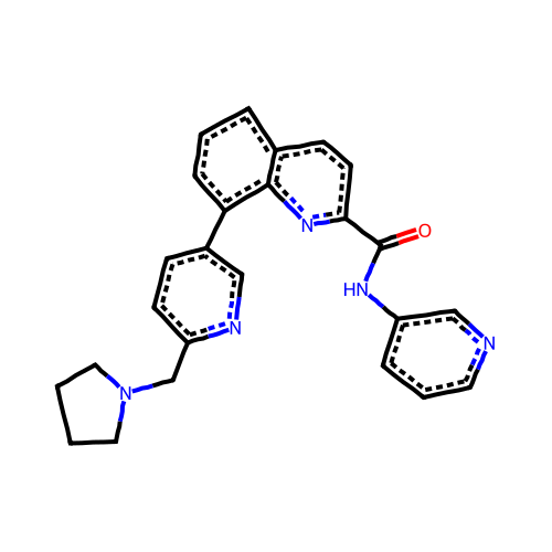 O=C(Nc1cccnc1)c1ccc2cccc(-c3ccc(CN4CCCC4)nc3)c2n1